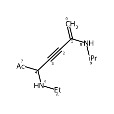 C=C(C#CC(NCC)C(C)=O)NC(C)C